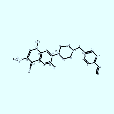 C=Cc1ccc(CN2CCN(c3cc4c(cc3F)c(=O)c(C(=O)O)cn4CC)CC2)cc1